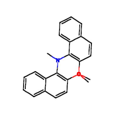 COc1ccc2ccccc2c1N(C)c1c(OC)ccc2ccccc12